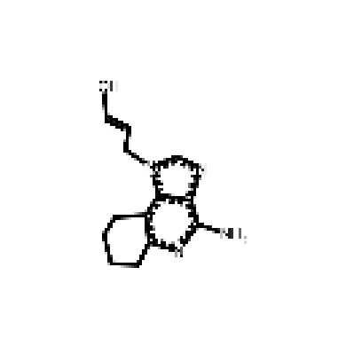 Nc1nc2c(c3c1ncn3CC=CO)CCCC2